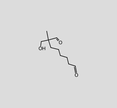 CC(C=O)(CO)CCCCCC=O